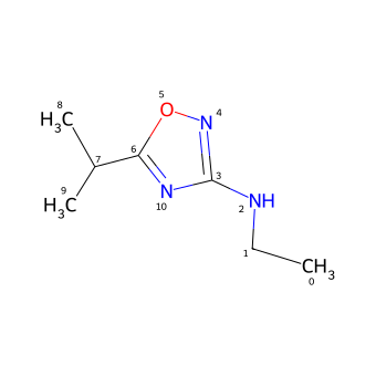 CCNc1noc(C(C)C)n1